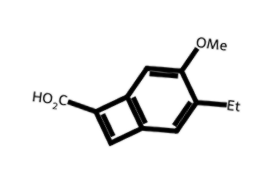 CCc1cc2c(cc1OC)C(C(=O)O)=C2